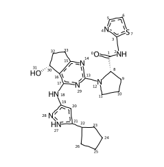 O=C(Nc1nccs1)[C@@H]1CCCN1c1nc2c(c(Nc3cc(C4CCCC4)[nH]n3)n1)[C@H](O)CC2